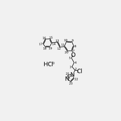 Cl.ClC(CCCOc1cccc(/C=C/c2ccccc2)c1)n1ccnc1